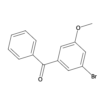 COc1cc(Br)cc(C(=O)c2ccccc2)c1